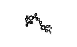 Cc1ccc(COC2CN(C(=O)N3CC[C@@H]4OCC(=O)NC4C3)C2)cc1C(F)(F)F